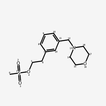 CS(=O)(=O)OCCc1cccc(CN2CCOCC2)c1